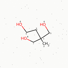 [CH2]C([C]CO)(CO)CO